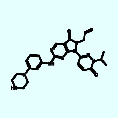 C=CCn1c(=O)c2cnc(Nc3cccc(N4CCNCC4)c3)nc2n1-c1ccc(=O)n(C(C)C)n1